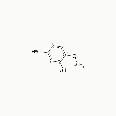 Cc1ccc(OC(F)(F)F)c(Cl)c1